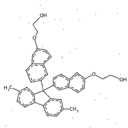 Cc1ccc2c(c1)C(c1ccc3cc(OCCO)ccc3c1)(c1ccc3cc(OCCO)ccc3c1)c1cc(C)ccc1-2